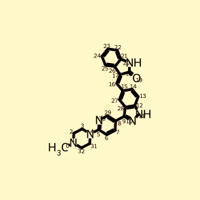 CN1CCN(c2ccc(-c3n[nH]c4ccc(C=C5C(=O)Nc6ccccc65)cc34)cn2)CC1